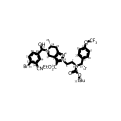 CCOC(=O)c1c2c(nn1CCN(C(=O)OC(C)(C)C)[C@@H](C)c1ccc(OC(F)(F)F)cc1)C[C@@H](C)N(C(O)c1ccc(Br)c(C#N)c1)C2